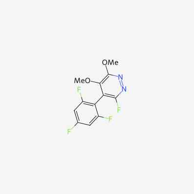 COc1nnc(F)c(-c2c(F)cc(F)cc2F)c1OC